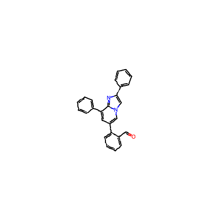 O=Cc1ccccc1-c1cc(-c2ccccc2)c2nc(-c3ccccc3)cn2c1